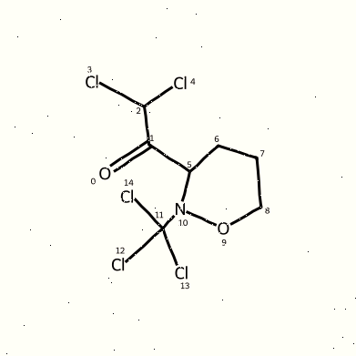 O=C(C(Cl)Cl)C1CCCON1C(Cl)(Cl)Cl